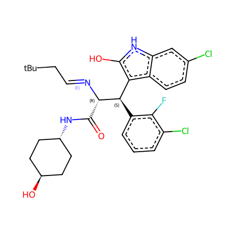 CC(C)(C)C/C=N/[C@@H](C(=O)N[C@H]1CC[C@H](O)CC1)[C@H](c1cccc(Cl)c1F)c1c(O)[nH]c2cc(Cl)ccc12